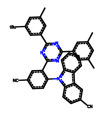 Cc1cc(C)cc(-c2nc(-c3cc(C)cc(C(C)(C)C)c3)nc(-c3cc(C#N)ccc3-n3c4ccccc4c4cc(C#N)ccc43)n2)c1